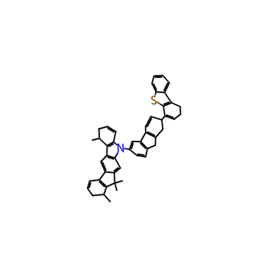 CC1CC=CC2=C1C(C)(C)c1cc3c(cc12)c1c(n3-c2ccc3c(c2)C2=C(C3)CC(C3=CCCc4c3sc3ccccc43)C=C2)C=CCC1C